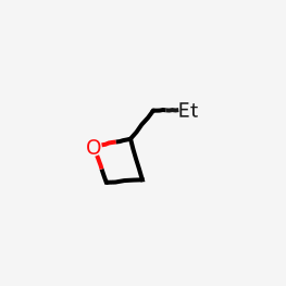 CCCC1CCO1